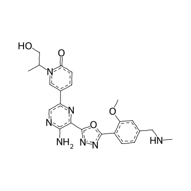 CNCc1ccc(-c2nnc(-c3nc(-c4ccc(=O)n(C(C)CO)c4)cnc3N)o2)c(OC)c1